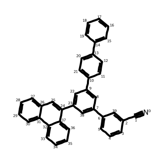 N#Cc1cccc(-c2cc(-c3ccc(-c4ccccc4)cc3)cc(-c3cc4ccccc4c4ccccc34)c2)c1